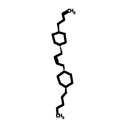 C=CCC[C@H]1CC[C@H](C/C=C\C[C@H]2CC[C@H](CCCCC)CC2)CC1